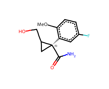 COc1ccc(F)cc1[C@]1(C(N)=O)CC1CO